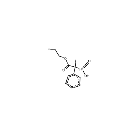 CCCOC(=O)C(C)(c1ccccc1)[PH](=O)O